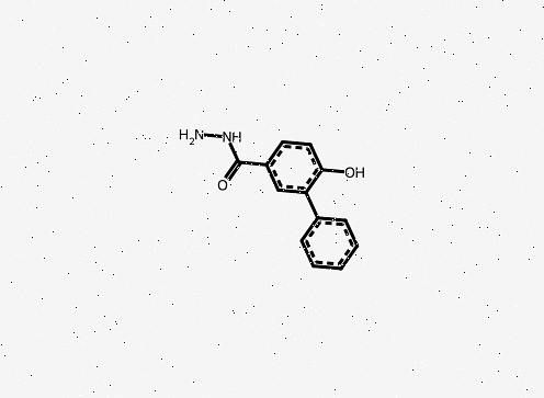 NNC(=O)c1ccc(O)c(-c2ccccc2)c1